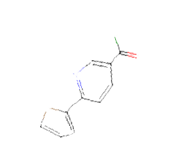 O=C(Cl)c1ccc(-c2cccs2)nc1